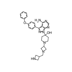 Nc1ncnc2c1c(-c1ccc(Oc3ccccc3)cc1)nn2C1(O)CCN(C2CN(CC3CNC3)C2)CC1